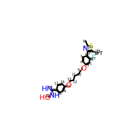 Cc1nc(-c2ccc(OCCCCCOc3ccc(C(=N)NO)cc3)cc2F)c(C(C)C)s1